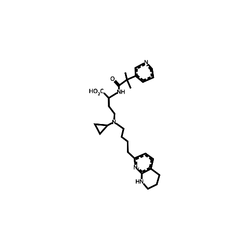 CC(C)(C(=O)NC(CCN(CCCCc1ccc2c(n1)NCCC2)C1CC1)C(=O)O)c1cccnc1